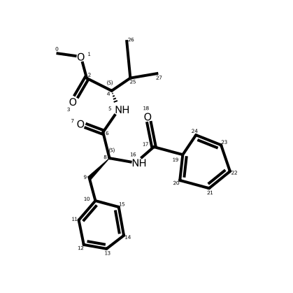 COC(=O)[C@@H](NC(=O)[C@H](Cc1ccccc1)NC(=O)c1ccccc1)C(C)C